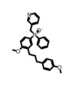 COc1ccc(CCCc2cc([N+]([O-])(Cc3cccnc3)c3ccccc3)ccc2OC)cc1